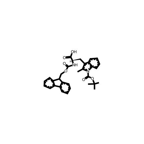 Cc1c(C[C@@H](NC(=O)OCC2c3ccccc3-c3ccccc32)C(=O)O)c2ccccc2n1C(=O)OC(C)(C)C